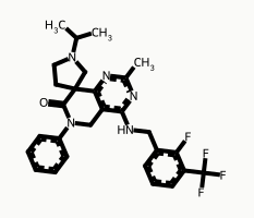 Cc1nc(NCc2cccc(C(F)(F)F)c2F)c2c(n1)C1(CCN(C(C)C)C1)C(=O)N(c1ccccc1)C2